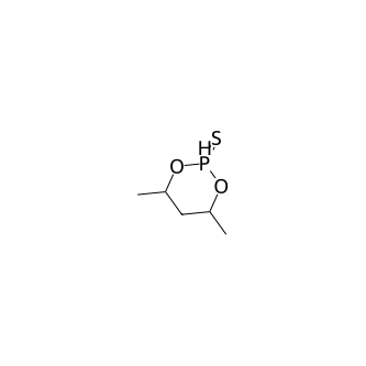 CC1CC(C)O[PH](=S)O1